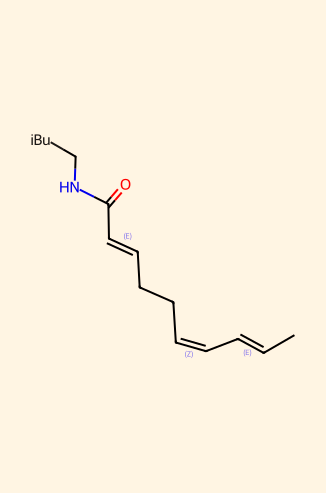 C/C=C/C=C\CC/C=C/C(=O)NCC(C)CC